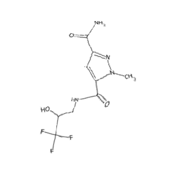 Cn1nc(C(N)=O)[c]c1C(=O)NCC(O)C(F)(F)F